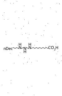 CCCCCCCCCCCCCCNCCNCCNCCCCCCCCCCCC(=O)O